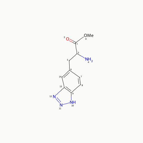 COC(=O)C(N)Cc1ccc2[nH]nnc2c1